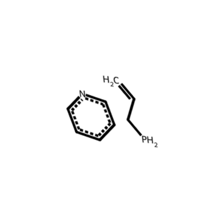 C=CCP.c1ccncc1